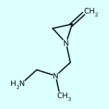 C=C1CN1CN(C)CN